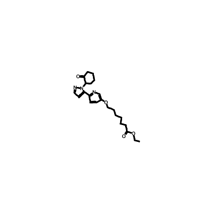 CCOC(=O)CCCCCCOc1ccc(-c2ccnn2C2CCCCC2=O)nc1